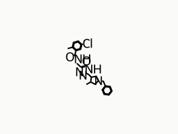 Cc1ccc(Cl)cc1C(=O)NCc1nnc(C2CN(Cc3ccccc3)CC2C)[nH]c1=O